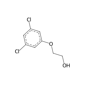 OCCOc1cc(Cl)cc(Cl)c1